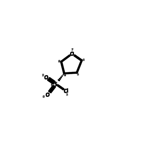 O=S(=O)(Cl)[C@H]1CCOC1